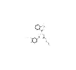 COc1cc(C=NN(CC(=O)NCCO)C2=NS(=O)(=O)c3ccccc32)ccc1O